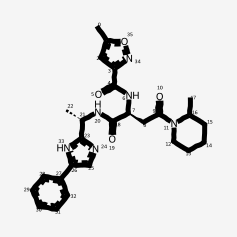 Cc1cc(C(=O)N[C@@H](CC(=O)N2CCCCC2C)C(=O)N[C@@H](C)c2ncc(-c3ccccc3)[nH]2)no1